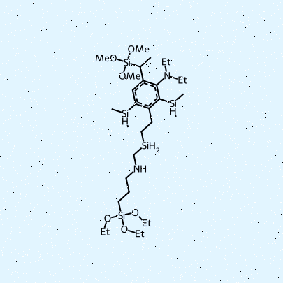 CCO[Si](CCCNC[SiH2]CCc1c([SiH](C)C)cc(C(C)[Si](OC)(OC)OC)c(N(CC)CC)c1[SiH](C)C)(OCC)OCC